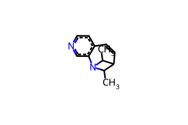 CC1C2C=Cc3ccncc3N1C2C